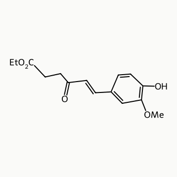 CCOC(=O)CCC(=O)C=Cc1ccc(O)c(OC)c1